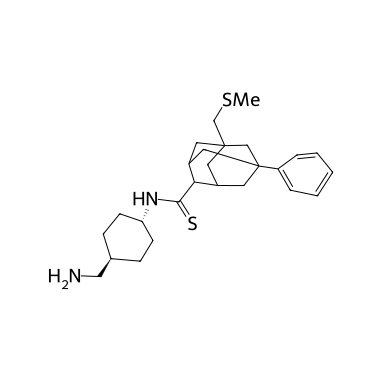 CSCC12CC3CC(c4ccccc4)(CC(C1)C3C(=S)N[C@H]1CC[C@H](CN)CC1)C2